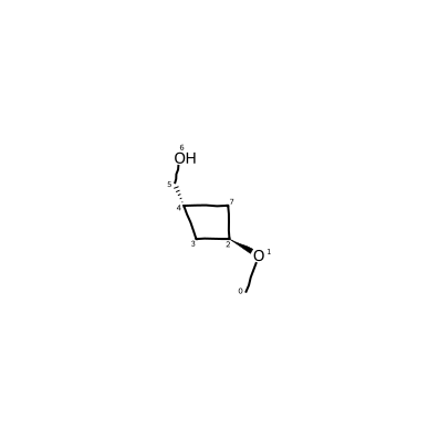 CO[C@H]1C[C@H](CO)C1